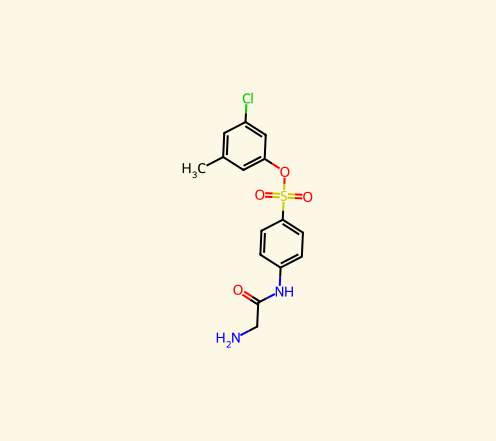 Cc1cc(Cl)cc(OS(=O)(=O)c2ccc(NC(=O)CN)cc2)c1